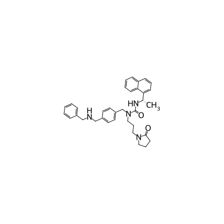 C[C@H](NC(=O)N(CCCN1CCCC1=O)Cc1ccc(CNCc2ccccc2)cc1)c1cccc2ccccc12